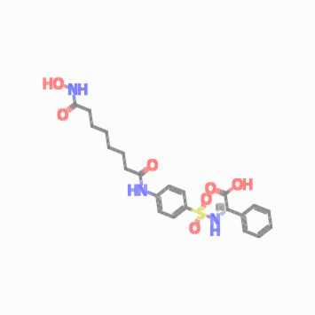 O=C(CCCCCCC(=O)Nc1ccc(S(=O)(=O)N[C@H](C(=O)O)c2ccccc2)cc1)NO